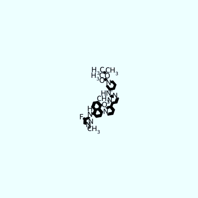 Cc1ccc2c(Nc3nn(C)cc3F)cccc2c1Oc1ncccc1-c1ccnc(N[C@H]2CCCN(C(=O)OC(C)(C)C)C2)n1